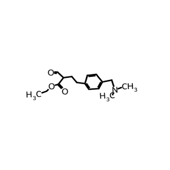 CCOC(=O)C(C=O)CCc1ccc(CN(C)C)cc1